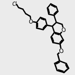 ClCCCCOc1ccc(C2c3ccc(OCc4ccccc4)cc3OCC2c2ccccc2)cc1